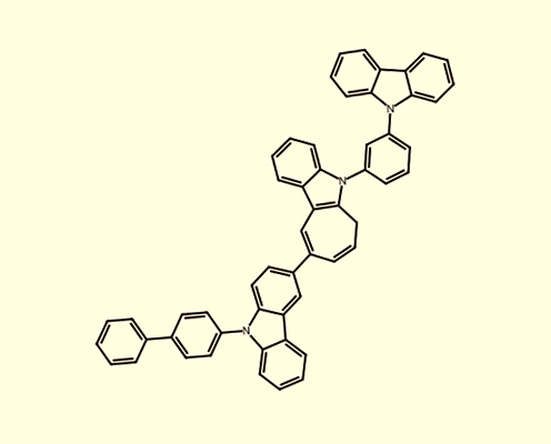 C1=CC(c2ccc3c(c2)c2ccccc2n3-c2ccc(-c3ccccc3)cc2)=Cc2c(n(-c3cccc(-n4c5ccccc5c5ccccc54)c3)c3ccccc23)C1